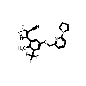 CC1C(c2nn[nH]c2C#N)=CC(OCc2cccc(N3CCCC3)n2)=CC1C(F)(F)F